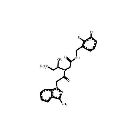 Cc1nn(CC(=O)N(CC(=O)NCc2cccc(Cl)c2F)C(CC(=O)O)C(F)(F)F)c2ccccc12